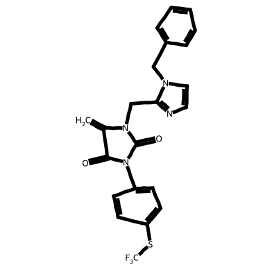 C=C1C(=O)N(c2ccc(SC(F)(F)F)cc2)C(=O)N1Cc1nccn1Cc1ccccc1